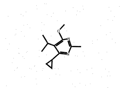 COc1nc(C)nc(C2CC2)c1C(C)C